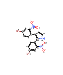 O=[N+]([O-])c1cc(Br)ccc1-c1cc[nH]c1-c1ccc(Br)cc1[N+](=O)[O-]